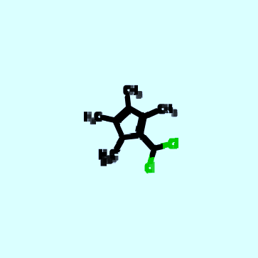 CC1=C(C)C(C)C(C(Cl)Cl)=C1C.[Ir+3]